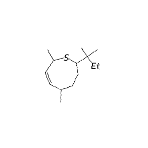 CCC(C)(C)C1CCC(C)C=CC(C)S1